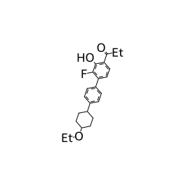 CCOC1CCC(c2ccc(-c3ccc(C(=O)CC)c(O)c3F)cc2)CC1